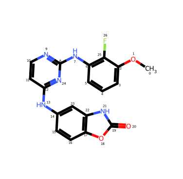 COc1cccc(Nc2nccc(Nc3ccc4oc(=O)[nH]c4c3)n2)c1F